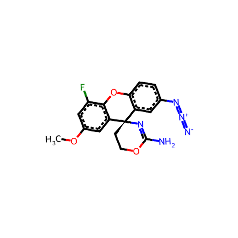 COc1cc(F)c2c(c1)[C@]1(CCOC(N)=N1)c1cc(N=[N+]=[N-])ccc1O2